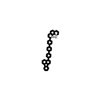 C1=Cc2ccc3c(c2NC1)NC(c1ccc(-c2ccc(-c4ccc(-c5ccc6c7c(cccc57)-c5ccccc5-6)cc4)cc2)cc1)C=C3